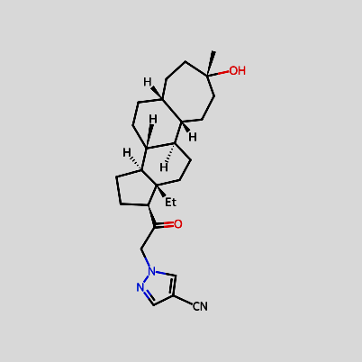 CC[C@]12CC[C@H]3[C@@H](CC[C@@H]4CC[C@](C)(O)CC[C@@H]43)[C@@H]1CC[C@@H]2C(=O)Cn1cc(C#N)cn1